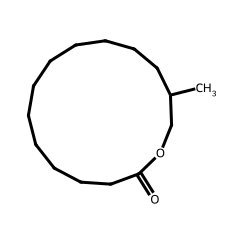 CC1CCCCCCCCCCCC(=O)OC1